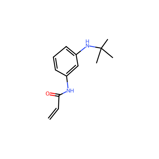 C=CC(=O)Nc1cccc(NC(C)(C)C)c1